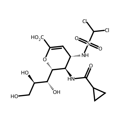 O=C(O)C1=C[C@H](NS(=O)(=O)C(Cl)Cl)[C@@H](NC(=O)C2CC2)[C@H]([C@H](O)[C@H](O)CO)O1